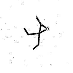 CCC1(CC)OC1I